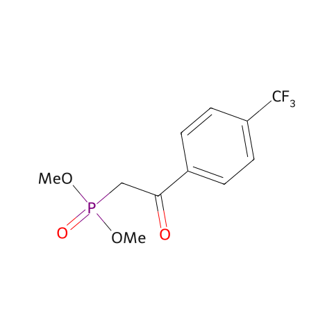 COP(=O)(CC(=O)c1ccc(C(F)(F)F)cc1)OC